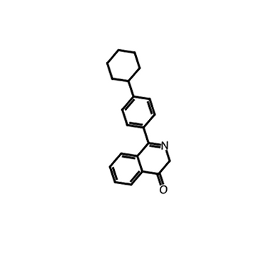 O=C1CN=C(c2ccc(C3CCCCC3)cc2)c2ccccc21